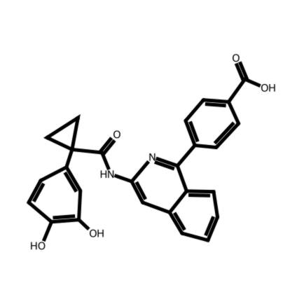 O=C(O)c1ccc(-c2nc(NC(=O)C3(c4ccc(O)c(O)c4)CC3)cc3ccccc23)cc1